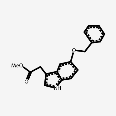 COC(=O)Cc1c[nH]c2ccc(OCc3ccccc3)cc12